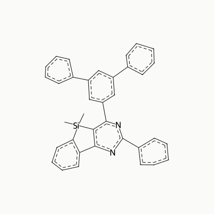 C[Si]1(C)c2ccccc2-c2nc(-c3ccccc3)nc(-c3cc(-c4ccccc4)cc(-c4ccccc4)c3)c21